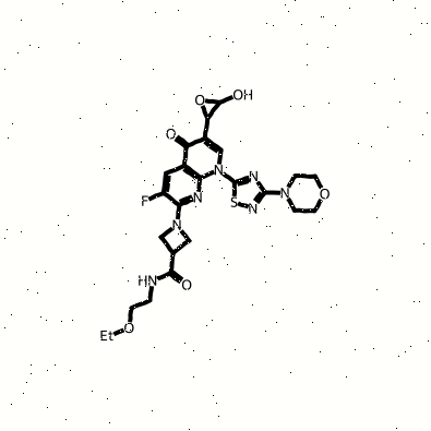 CCOCCNC(=O)C1CN(c2nc3c(cc2F)c(=O)c(C2OC2O)cn3-c2nc(N3CCOCC3)ns2)C1